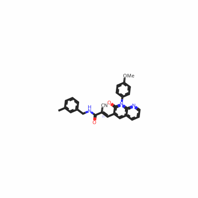 COc1ccc(-n2c(=O)c(/C=C(\C#N)C(=O)NCc3cccc(C)c3)cc3cccnc32)cc1